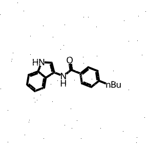 CCCCc1ccc(C(=O)Nc2c[nH]c3ccccc23)cc1